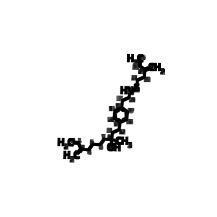 C=CC(=C)CCCCC(C)(O)CCc1ccc(CCNSCCC(=C)C=C)cc1